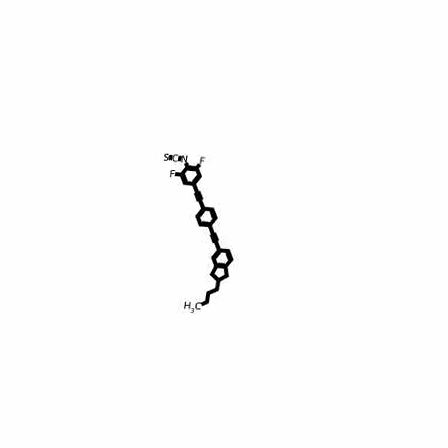 CCCCC1Cc2ccc(C#Cc3ccc(C#Cc4cc(F)c(N=C=S)c(F)c4)cc3)cc2C1